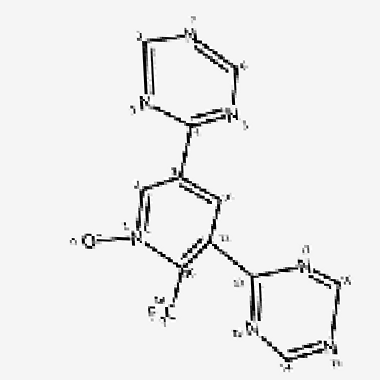 [O-][n+]1cc(-c2ncncn2)cc(-c2ncncn2)c1C(F)(F)F